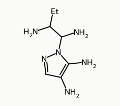 CCC(N)C(N)n1ncc(N)c1N